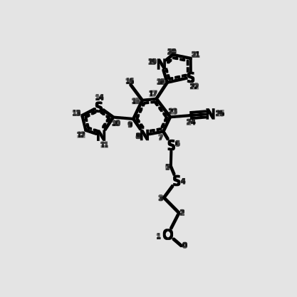 COCCSCSc1nc(-c2nccs2)c(C)c(-c2nccs2)c1C#N